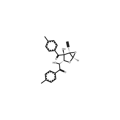 C#C[C@]12O[C@H]1O[C@H](C(O)C(=O)c1ccc(C)cc1)[C@]2(O)C(=O)c1ccc(C)cc1